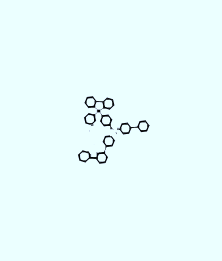 Cc1cccc(C2(c3ccc(N(c4ccc(-c5ccccc5)cc4)c4ccc(-c5cccc6c5sc5ccccc56)cc4)cc3)c3ccccc3-c3ccccc32)c1